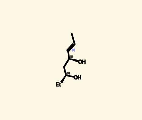 C/C=C/[C@@H](O)C[C@@H](O)CC